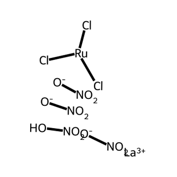 O=[N+]([O-])O.O=[N+]([O-])[O-].O=[N+]([O-])[O-].O=[N+]([O-])[O-].[Cl][Ru]([Cl])[Cl].[La+3]